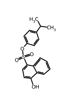 CC(C)c1ccc(OS(=O)(=O)c2ccc(O)c3ccccc23)cc1